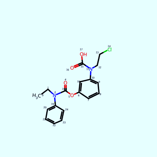 CCN(C(=O)Oc1cccc(N(CCCl)C(=O)O)c1)c1ccccc1